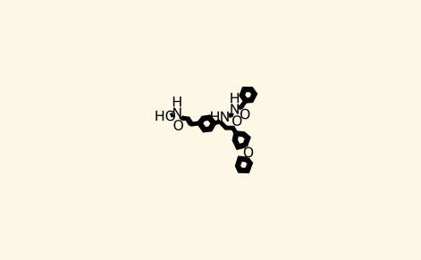 O=C(C=Cc1ccc(C(CCc2ccc(Oc3ccccc3)cc2)NC(=O)NC(=O)c2ccccc2)cc1)NO